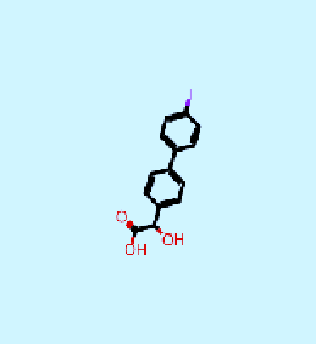 O=C(O)C(O)c1ccc(-c2ccc(I)cc2)cc1